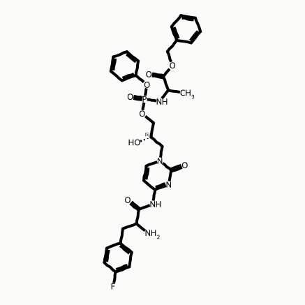 CC(NP(=O)(OC[C@@H](O)Cn1ccc(NC(=O)C(N)Cc2ccc(F)cc2)nc1=O)Oc1ccccc1)C(=O)OCc1ccccc1